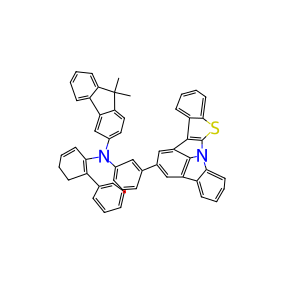 CC1(C)c2ccccc2-c2cc(N(C3=C(c4ccccc4)CCC=C3)c3cccc(-c4cc5c6ccccc6n6c7sc8ccccc8c7c(c4)c56)c3)ccc21